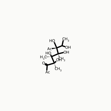 CC(=O)C(=O)[C@](C)(O)[C@@](C)(O)[C@](C)(O)[C@@](O)(C(C)=O)C(C)O